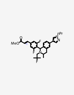 CCCn1cc(-c2ccc3c(c2)CC(C)N(CC(C)(C)F)C3c2c(F)cc(/C=C/C(=O)OC)cc2F)cn1